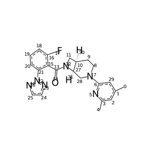 Cc1cc(C)nc(N2CC[C@@H]3CN(C(=O)c4c(F)cccc4-n4nccn4)[C@@H]3C2)c1